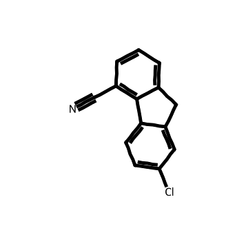 N#Cc1cccc2c1-c1ccc(Cl)cc1C2